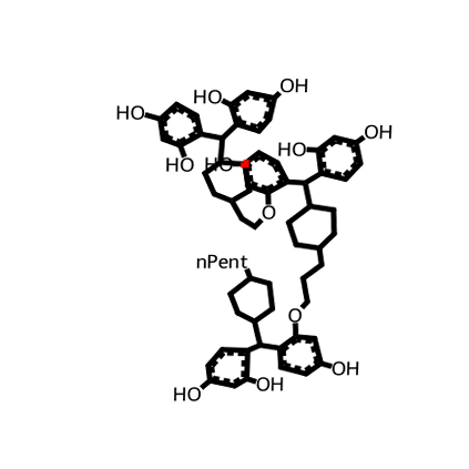 CCCCCC1CCC(C(c2ccc(O)cc2O)c2ccc(O)cc2OCCCC2CCC(C(c3ccc(O)cc3O)c3ccc(O)cc3OCCC3CCC(C(c4ccc(O)cc4O)c4ccc(O)cc4O)CC3)CC2)CC1